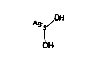 OSO.[Ag]